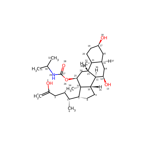 C=C(O)CC[C@@H](C)[C@H]1CC[C@H]2[C@@H]3[C@H](O)C[C@@H]4C[C@H](O)CC[C@]4(C)[C@H]3C[C@H](OC(=O)NC(C)C)[C@]12C